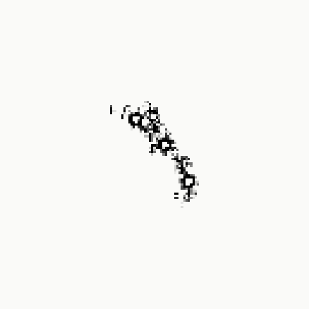 CCCc1ccc(C)cc1N1C(=O)CSC1=NC(=O)Nc1c(F)cc(OCc2ncn(-c3ccc(OC(F)(F)F)cc3)n2)cc1F